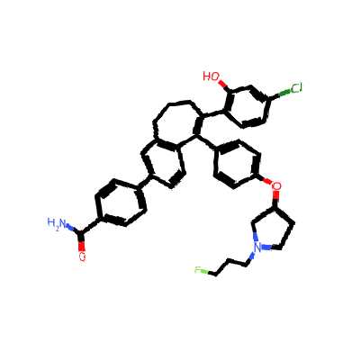 NC(=O)c1ccc(-c2ccc3c(c2)CCCC(c2ccc(Cl)cc2O)=C3c2ccc(OC3CCN(CCCF)C3)cc2)cc1